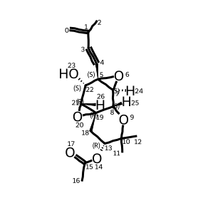 C=C(C)C#C[C@@]12O[C@H]1[C@@H]1OC(C)(C)[C@H](OC(C)=O)C[C@]13O[C@@H]3[C@@H]2O